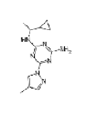 Cc1cnn(-c2nc(N)nc(NC(C)C3CC3)n2)c1